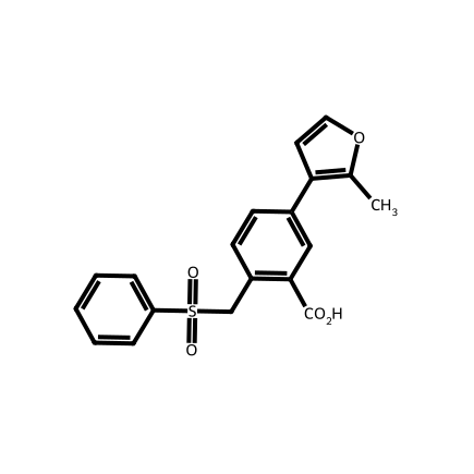 Cc1occc1-c1ccc(CS(=O)(=O)c2ccccc2)c(C(=O)O)c1